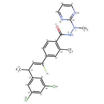 CN(NC(=O)c1ccc(C(F)=CC(c2cc(Cl)cc(Cl)c2)C(F)(F)F)cc1C(F)(F)F)c1ncccn1